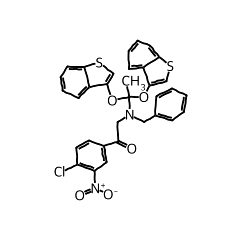 CC(Oc1csc2ccccc12)(Oc1csc2ccccc12)N(CC(=O)c1ccc(Cl)c([N+](=O)[O-])c1)Cc1ccccc1